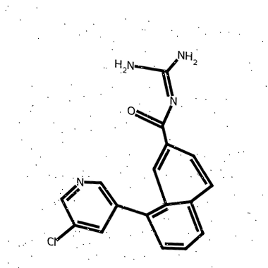 NC(N)=NC(=O)c1ccc2cccc(-c3cncc(Cl)c3)c2c1